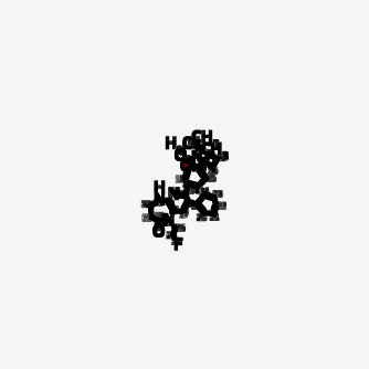 CC(C)(C)N(C(=O)O)C1(c2ccc(-c3nc4c(cc3-c3ccccc3)N(CCF)C(=O)CCN4)cc2)CCC1